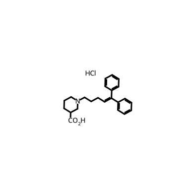 Cl.O=C(O)C1CCCN(CCCC=C(c2ccccc2)c2ccccc2)C1